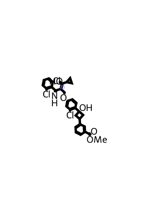 COC(=O)c1cccc(C2CC(O)(c3ccc(OC/C(C(=N)c4c(Cl)cccc4Cl)=C(/O)C4CC4)cc3Cl)C2)c1